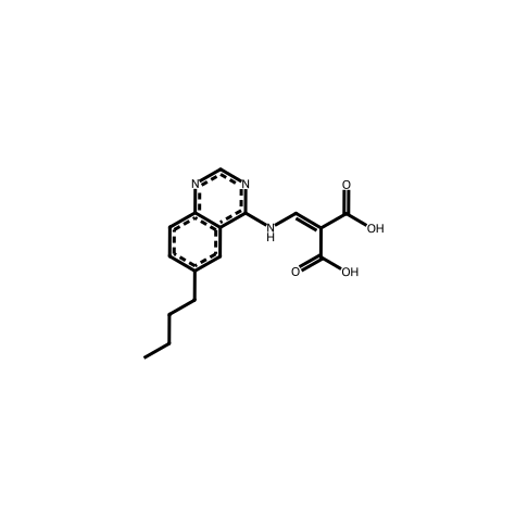 CCCCc1ccc2ncnc(NC=C(C(=O)O)C(=O)O)c2c1